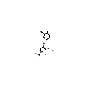 COCc1c(C(=O)Nc2ccc(F)c(C#N)c2)cc(C(=O)C=O)n1C